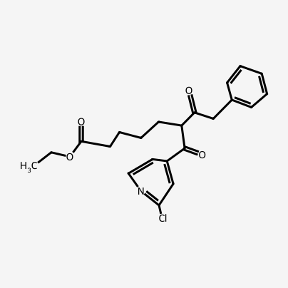 CCOC(=O)CCCCC(C(=O)Cc1ccccc1)C(=O)c1ccnc(Cl)c1